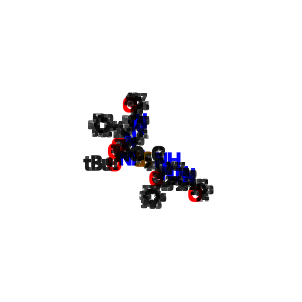 CC(C)(C)OC(=O)N[C@@H](CSSC[C@H](NC(=O)O)C(=O)N1CCn2nc(-c3ccco3)cc2C1CCc1ccccc1)C(=O)N1CCn2nc(-c3ccco3)cc2C1CCc1ccccc1